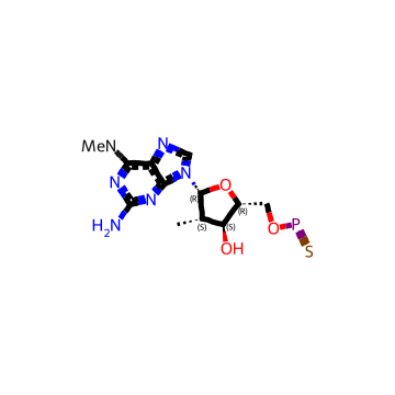 CNc1nc(N)nc2c1ncn2[C@@H]1O[C@H](COP=S)[C@@H](O)[C@@H]1C